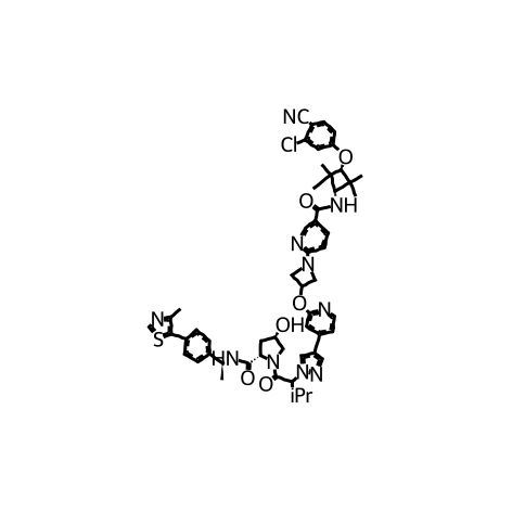 Cc1ncsc1-c1ccc([C@H](C)NC(=O)[C@@H]2C[C@@H](O)CN2C(=O)C(C(C)C)n2cc(-c3ccnc(OC4CN(c5ccc(C(=O)N[C@H]6C(C)(C)[C@H](Oc7ccc(C#N)c(Cl)c7)C6(C)C)cn5)C4)c3)cn2)cc1